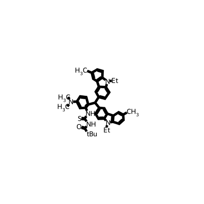 CCn1c2ccc(C)cc2c2cc(C(c3ccc4c(c3)c3cc(C)ccc3n4CC)c3ccc(N(C)C)cc3NC(=S)NC(=O)C(C)(C)C)ccc21